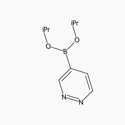 CC(C)OB(OC(C)C)c1ccnnc1